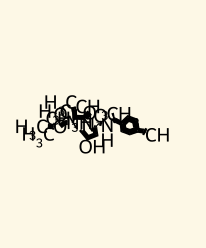 C#Cc1ccc([C@H](C)NC(=O)[C@@H]2C[C@@H](O)CN2C(=O)[C@@H](NC(=O)OC(C)(C)C)C(C)(C)C)cc1